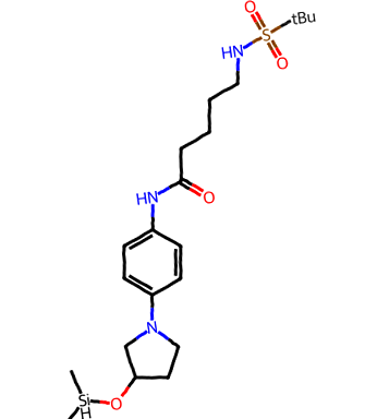 C[SiH](C)OC1CCN(c2ccc(NC(=O)CCCCNS(=O)(=O)C(C)(C)C)cc2)C1